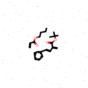 C=C(C=Cc1ccccc1)C(=O)OC(C)(C)C.C=CC(=O)OCCCC